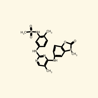 Cc1ccc(Nc2ncc(C)c(Nc3ccc4oc(=O)n(C)c4c3)n2)cc1NS(C)(=O)=O